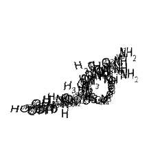 CC[C@H](C)[C@@H]1NC(=O)[C@H](CC(C)C)NC(=O)C2(CCN(C(=O)C(CNCCN)CNCCN)CC2)NC(=O)CCSCc2cccc(n2)CSC[C@@H](C(=O)NC2CCN(CC(=O)N[C@H](CCC(=O)NCC[C@@H](O)[C@H](O)[C@H](O)CO)C(N)=O)CC2)NC1=O